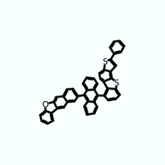 c1ccc(-c2cc3c(ccc4c3sc3cccc(-c5c6ccccc6c(-c6ccc7cc8oc9ccccc9c8cc7c6)c6ccccc56)c34)s2)cc1